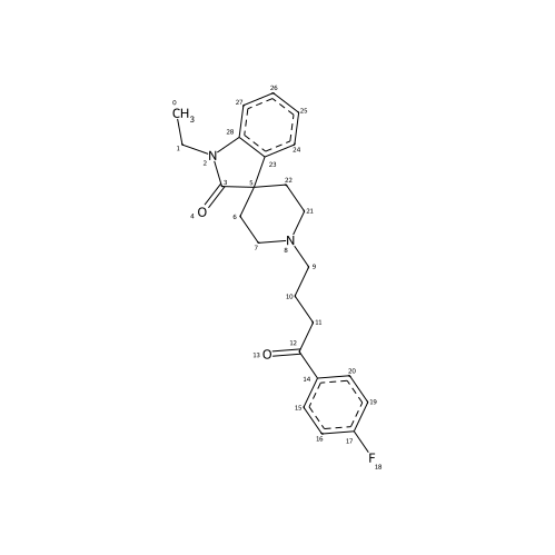 CCN1C(=O)C2(CCN(CCCC(=O)c3ccc(F)cc3)CC2)c2ccccc21